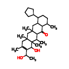 CC1=C(C(C)O)C(O)C2(C)C(C)C3C(=O)C4C(C)CCC(C5CCCC5)C4CC3(C)CC2(C)C1